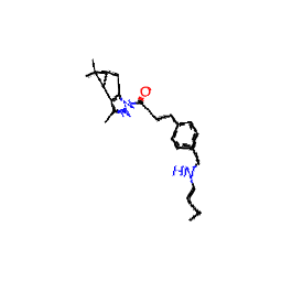 CCCCNCc1ccc(CCC(=O)n2nc(C)c3c2CC2C3C2(C)C)cc1